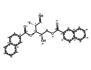 N=C[C@@H](F)[C@H](OC(=O)c1ccc2ccccc2c1)[C@H](O)COC(=O)c1ccc2ccccc2c1